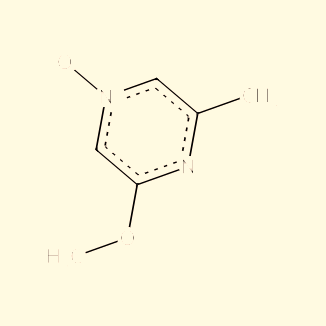 COc1c[n+]([O-])cc(C)n1